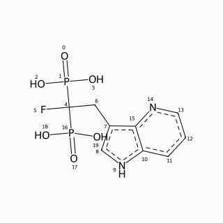 O=P(O)(O)C(F)(Cc1c[nH]c2cccnc12)P(=O)(O)O